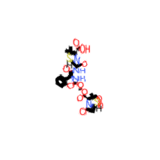 CC1(C)S[C@@H]2[C@H](NC(=O)C(NC(=O)OCOC(=O)[C@@H]3N4C(=O)C[C@H]4S(=O)(=O)C3(C)C)c3ccccc3)C(=O)N2[C@H]1C(=O)O